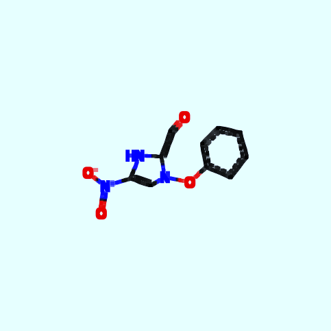 O=C=C1NC([N+](=O)[O-])=CN1Oc1ccccc1